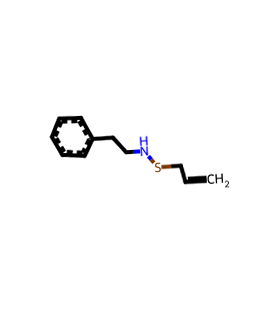 C=CCSNCCc1ccccc1